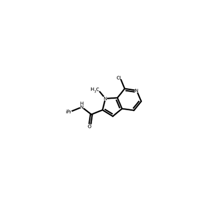 CC(C)NC(=O)c1cc2ccnc(Cl)c2n1C